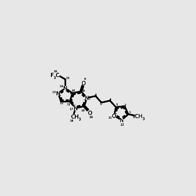 Cc1cc(CCCn2c(=O)c3c(cnn3CC(F)(F)F)n(C)c2=O)on1